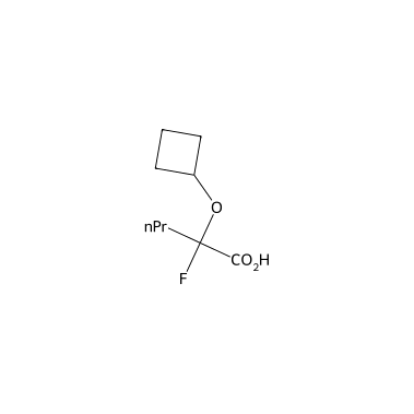 CCCC(F)(OC1CCC1)C(=O)O